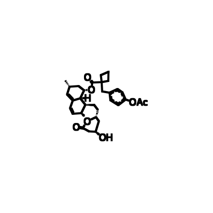 CC(=O)Oc1ccc(CC2(C(=O)O[C@H]3C[C@@H](C)C=C4C=C[C@H](C)[C@H](CC[C@@H]5C[C@@H](O)CC(=O)O5)[C@H]43)CCC2)cc1